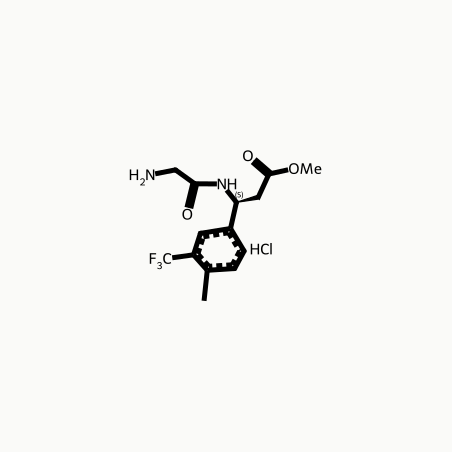 COC(=O)C[C@H](NC(=O)CN)c1ccc(C)c(C(F)(F)F)c1.Cl